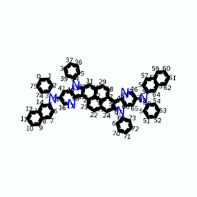 c1ccc(N(c2ccc3ccccc3c2)c2cnc3c4c5ccc6cc7c(c8ccc(cc4n(-c4ccccc4)c3c2)c5c68)c2ncc(N(c3ccccc3)c3ccc4ccccc4c3)cc2n7-c2ccccc2)cc1